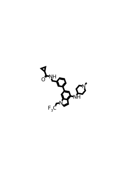 CN1CCC(Nc2cc(-c3cccc(CNC(=O)C4CC4)c3)cc3c2ccn3CC(F)(F)F)CC1